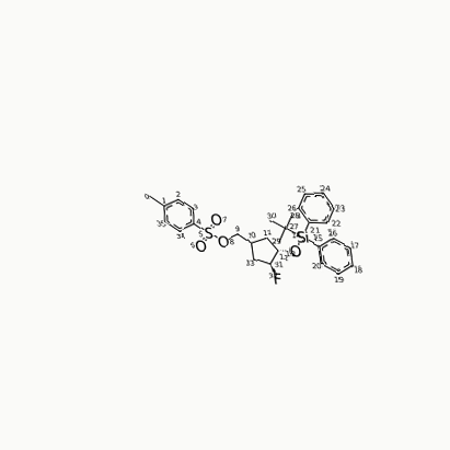 Cc1ccc(S(=O)(=O)OCC2C[C@H](O[Si](c3ccccc3)(c3ccccc3)C(C)(C)C)[C@@H](F)C2)cc1